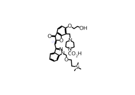 C[Si](C)(C)CCOCn1nc(/C=C2\Oc3c(ccc(OCCO)c3CN3CCN(C(=O)O)CC3)C2=O)c2ccccc21